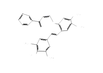 COc1cc(/C=C/c2cc(OC)c(OC)c(OC)c2)c(N/C=C\C(=O)c2ccccc2)cc1OC